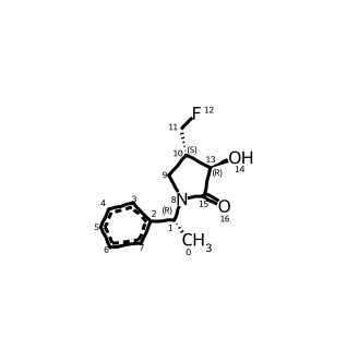 C[C@H](c1ccccc1)N1C[C@H](CF)[C@@H](O)C1=O